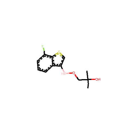 CC(C)(O)COBc1csc2c(F)cccc12